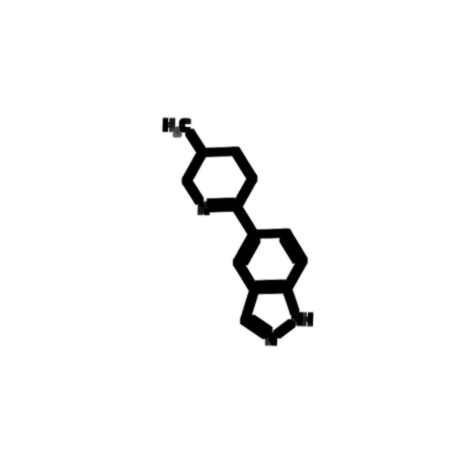 CC1CCC(c2ccc3[nH]ncc3c2)=NC1